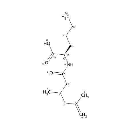 C=C(C)CC(C)CC(=O)N[C@H](CCCC)C(=O)O